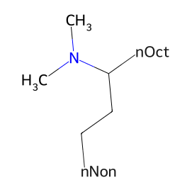 CCCCCCCCCCCC(CCCCCCCC)N(C)C